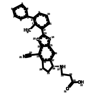 Cc1c(-c2ccccc2)cccc1-c1nc2cc3c(c(C#N)c2o1)CC[C@H]3NCCC(=O)O